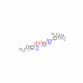 CC(C)Sc1ccc(C(=O)N[C@@H](Cc2ccc(-c3ncc(-c4ccc(C(C)(C)C)cc4)cn3)cc2)C(=O)O)cc1